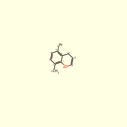 Cc1ccc(C(C)C)c2c1OC=CC2